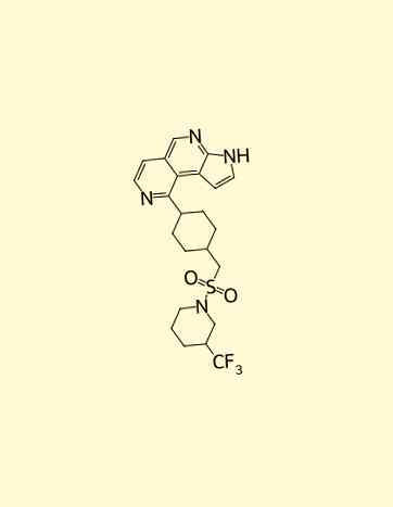 O=S(=O)(CC1CCC(c2nccc3cnc4[nH]ccc4c23)CC1)N1CCCC(C(F)(F)F)C1